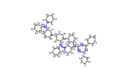 c1ccc(-c2nc(-c3ccccc3)nc(-n3c4ccccc4c4c3ccc3c5ccccc5n(-c5cccc(-c6ccc7c8ccccc8n(-c8ccccc8)c7c6)c5)c34)n2)cc1